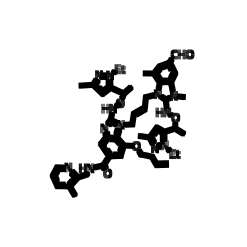 C=CCCOc1cc(C(=O)NCc2ncccc2C)cc2nc(NOC(C)c3cc(C)nn3CC)n(C/C=C/CN3c4c(C)cc(C=O)cc4N(C)C3NOC(C)c3cc(C)nn3CC)c12